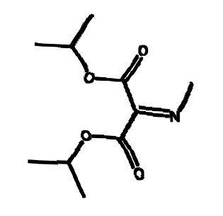 CN=C(C(=O)OC(C)C)C(=O)OC(C)C